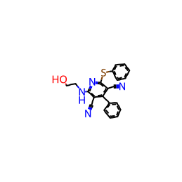 N#Cc1c(NCCO)nc(Sc2ccccc2)c(C#N)c1-c1ccccc1